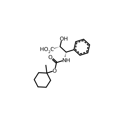 CC1(OC(=O)N[C@@H](c2ccccc2)[C@@H](O)C(=O)O)CCCCC1